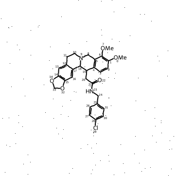 COc1ccc2c(c1OC)CN1CCc3cc4c(cc3C1C2CC(=O)NCc1ccc(Cl)cc1)OCO4